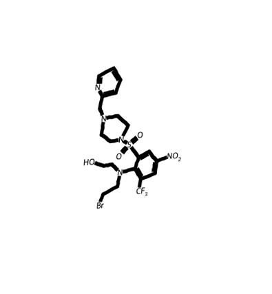 O=[N+]([O-])c1cc(C(F)(F)F)c(N(CCO)CCBr)c(S(=O)(=O)N2CCN(Cc3ccccn3)CC2)c1